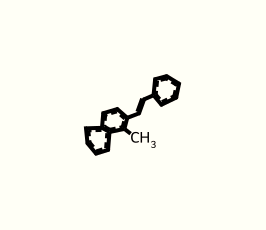 Cc1c(/C=C/c2ccccc2)ccc2ccccc12